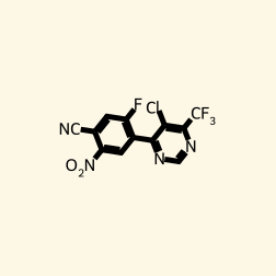 N#Cc1cc(F)c(-c2ncnc(C(F)(F)F)c2Cl)cc1[N+](=O)[O-]